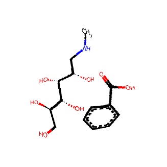 CNC[C@H](O)[C@@H](O)[C@H](O)[C@H](O)CO.O=C(O)c1ccccc1